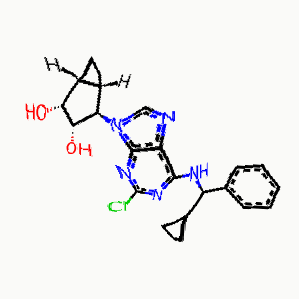 O[C@@H]1[C@H](O)[C@@H]2C[C@@H]2[C@H]1n1cnc2c(N[C@@H](c3ccccc3)C3CC3)nc(Cl)nc21